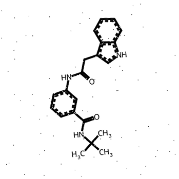 CC(C)(C)NC(=O)c1cccc(NC(=O)Cc2c[nH]c3ccccc23)c1